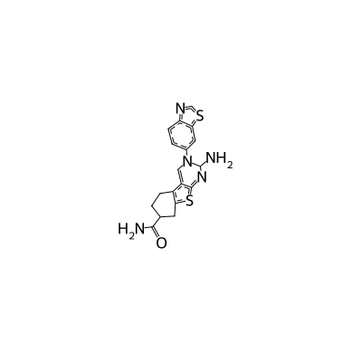 NC(=O)C1CCc2c(sc3c2=CN(c2ccc4ncsc4c2)C(N)N=3)C1